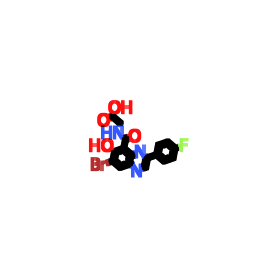 O=C(O)CNC(=O)c1c(O)c(Br)cc2ncc(-c3ccc(F)cc3)nc12